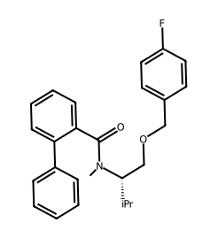 CC(C)[C@@H](COCc1ccc(F)cc1)N(C)C(=O)c1ccccc1-c1ccccc1